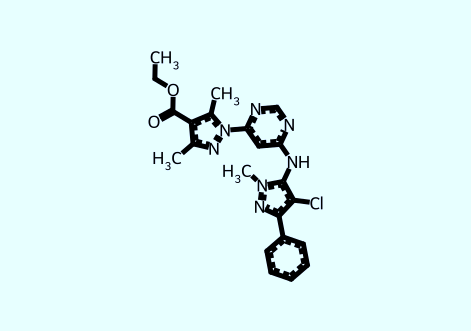 CCOC(=O)c1c(C)nn(-c2cc(Nc3c(Cl)c(-c4ccccc4)nn3C)ncn2)c1C